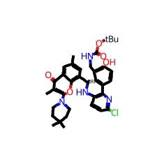 Cc1cc([C@@H](C)Nc2ccc(Cl)nc2-c2ccc(O)c(CNC(=O)OC(C)(C)C)c2)c2oc(N3CCC(C)(C)CC3)c(C)c(=O)c2c1